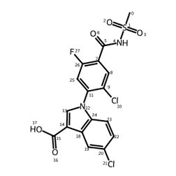 CS(=O)(=O)NC(=O)c1cc(Cl)c(-n2cc(C(=O)O)c3cc(Cl)ccc32)cc1F